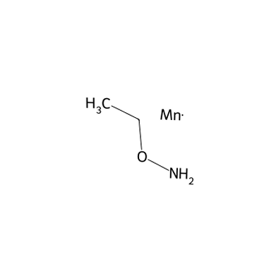 CCON.[Mn]